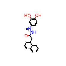 C=[N+](NC(=O)Cc1cccc2ccccc12)c1ccc(O)c(O)c1